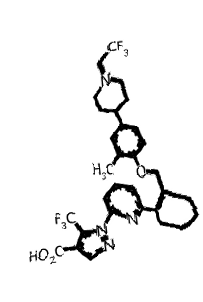 Cc1cc(C2CCN(CC(F)(F)F)CC2)ccc1OCC1=C(c2cccc(-n3ncc(C(=O)O)c3C(F)(F)F)n2)CCCC1